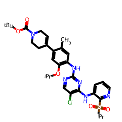 Cc1cc(Nc2ncc(Cl)c(Nc3cccnc3S(=O)(=O)C(C)C)n2)c(OC(C)C)cc1C1=CCN(C(=O)OC(C)(C)C)CC1